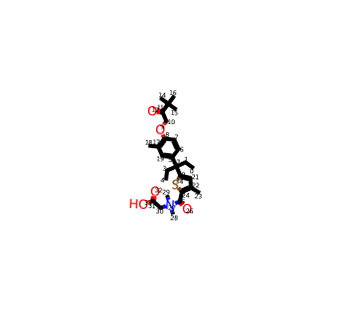 CCC(CC)(c1ccc(OCC(=O)C(C)(C)C)c(C)c1)c1cc(C)c(C(=O)[N+](C)(C)CC(=O)O)s1